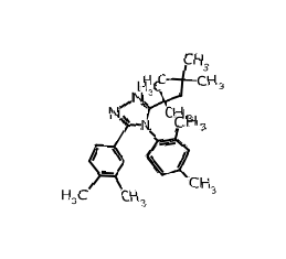 Cc1ccc(-n2c(-c3ccc(C)c(C)c3)nnc2C(C)(C)CC(C)(C)C)c(C)c1